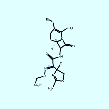 CCSC1=C(C(=O)O)N2C(=O)C(NC(=O)/C(=N/OCC(=O)O)C3(Cl)CSC(N)=N3)[C@H]2SC1